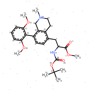 COC(=O)C(Cc1ccc(-c2c(OC)cccc2OC)c2c1CCN(C)C2)NC(=O)OC(C)(C)C